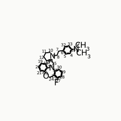 CN(C)c1ccc(CCN2CCCC[C@@H]2CN2c3ccccc3OCc3c(F)cccc32)cc1